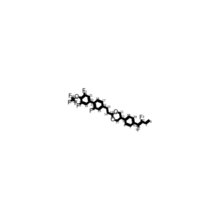 C=C/C(F)=C(\F)c1ccc(C2COC(CCc3ccc(-c4cc(F)c(OC(F)(F)F)c(F)c4)c(F)c3)OC2)cc1